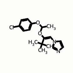 CC(OC(=Cn1ccnc1)C(C)(C)C)Oc1ccc(Cl)cc1